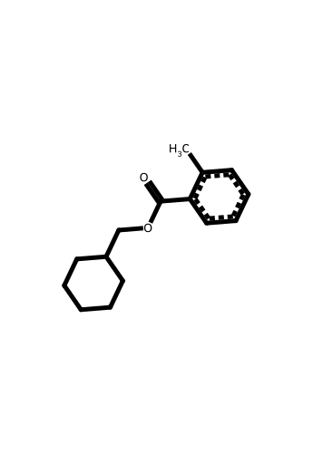 Cc1ccccc1C(=O)OCC1CCCCC1